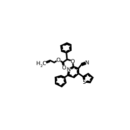 C=CCOC(=O)C(Oc1nc(-c2ccccc2)cc(-c2cccs2)c1C#N)c1ccccc1